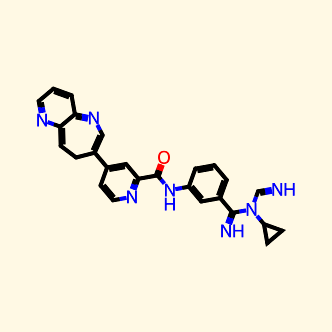 N=CN(C(=N)c1cccc(NC(=O)c2cc(C3=CN=c4cccnc4=CC3)ccn2)c1)C1CC1